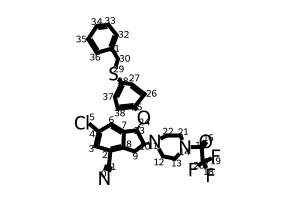 N#Cc1cc(Cl)cc2c1C[C@H](N1CCN(C(=O)C(F)(F)F)CC1)[C@H]2Oc1ccc(SCc2ccccc2)cc1